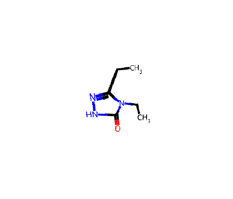 CCc1n[nH]c(=O)n1CC